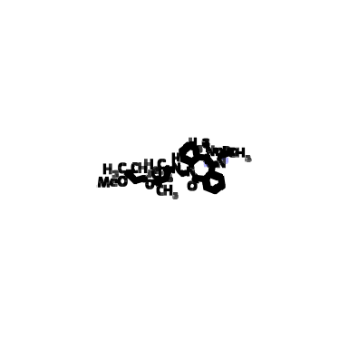 C=C(CC(C)(C)OCCC(C)(C)OC)NCN1C(=O)c2ccccc2C(/N=C/C)=C(/N(C)CCCC)c2ccccc21